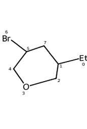 CCC1COCC(Br)C1